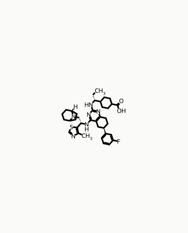 CC[C@@H](Nc1nc2c(c(N[C@@H](CN3C4CCC[C@@H]3CC4)c3scnc3C)n1)C[C@H](c1cccc(F)c1)CC2)C1CCC(C(=O)O)CC1